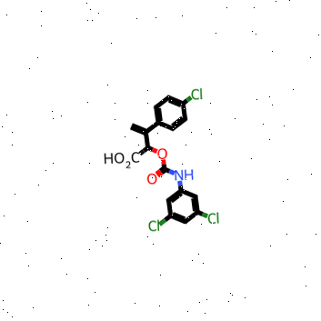 C=C(c1ccc(Cl)cc1)C(OC(=O)Nc1cc(Cl)cc(Cl)c1)C(=O)O